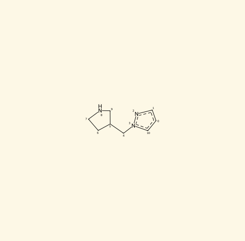 c1cnn(CC2CCNC2)c1